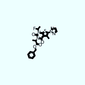 Cc1c(-n2nccn2)sc2c1c(=O)n(C(C)C(=O)OCc1ccccc1)c(=O)n2C(C)F